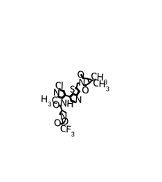 Cc1nc(Cl)cc(-c2ccnc3cc(CN4C(=O)C5C(C4=O)C5(C)C)sc23)c1NC(=O)C1CN(OC(=O)C(F)(F)F)C1